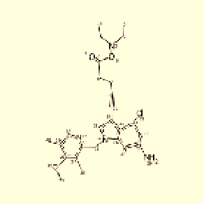 CCN(CC)OC(=O)CCC#Cc1cn(Cc2ncc(C)c(OC)c2C)c2nc(N)nc(Cl)c12